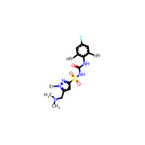 CCCc1cc(F)cc(CCC)c1NC(=O)NS(=O)(=O)c1cc(CN(C)C)n(CC)n1